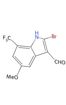 COc1cc(C(F)(F)F)c2[nH]c(Br)c(C=O)c2c1